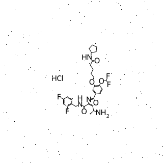 C[C@H](N)c1oc(-c2ccc(OC(F)F)c(OCCCCC(=O)NC3CCCC3)c2)nc1C(=O)NCc1ccc(F)cc1F.Cl